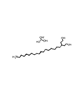 NCCCCCCCCC=CCCCCCCCC(CCO)CCO.OP(O)O